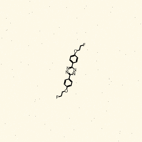 FCCOc1ccc(-c2nnc(-c3ccc(OCCF)cc3)nn2)cc1